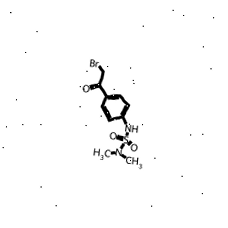 CN(C)S(=O)(=O)Nc1ccc(C(=O)CBr)cc1